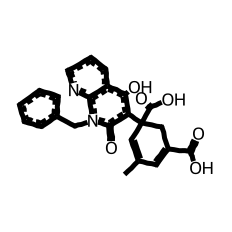 CC1=CC(C(=O)O)(c2c(O)c3cccnc3n(Cc3ccccc3)c2=O)CC(C(=O)O)=C1